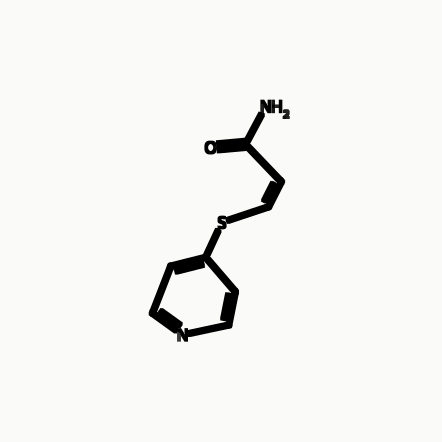 NC(=O)/C=C\Sc1ccncc1